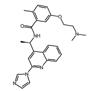 Cc1ccc(OCCN(C)C)cc1C(=O)N[C@H](C)c1cc(-n2ccnc2)nc2ccccc12